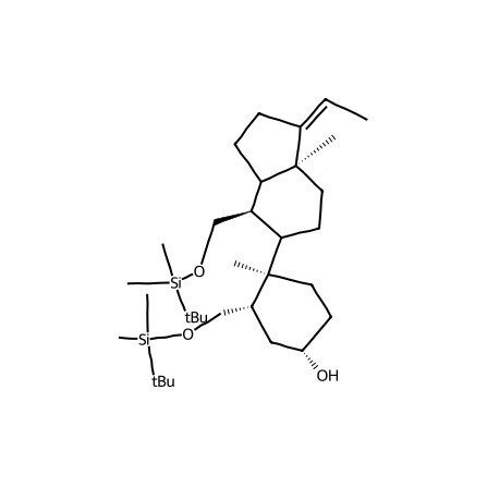 C/C=C1/CCC2[C@H](CO[Si](C)(C)C(C)(C)C)C([C@@]3(C)CC[C@H](O)C[C@@H]3CO[Si](C)(C)C(C)(C)C)CC[C@]12C